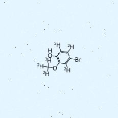 [2H]c1c([2H])c(Br)c([2H])c(OC([2H])([2H])[2H])c1O